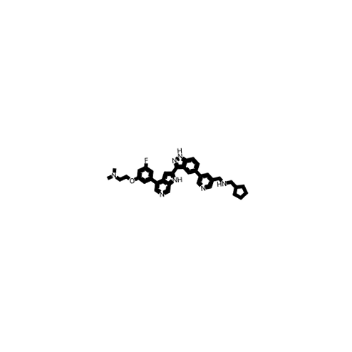 CN(C)CCOc1cc(F)cc(-c2cncc3[nH]c(-c4n[nH]c5ccc(-c6cncc(CNCC7CCCC7)c6)cc45)cc23)c1